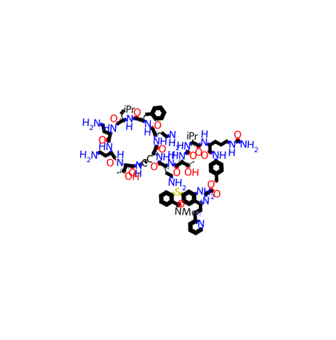 CNC(=O)c1ccccc1Sc1ccc(C(/C=C/c2ccccn2)=N\CC(=O)OCc2ccc(NC(=O)C(CCCNC(N)=O)NC(=O)[C@H](NC(=O)N[C@H](C(=O)N[C@H](CCN)C(=O)N[C@@H]3CCNC(=O)[C@H]([C@@H](C)O)NC(=O)C(CCN)NC(=O)C(CCN)NC(=O)[C@H](CC(C)C)NC(=O)[C@H](Cc4ccccc4)NC(=O)[C@H](CCN)NC3=O)[C@H](C)O)C(C)C)cc2)c(N)c1